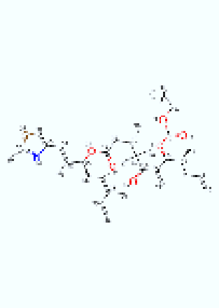 C=CC[C@H](C)[C@H](OC(=O)OCC(Cl)(Cl)Cl)C(=C)C(=O)C(C)(C)[C@@H](C)CC(=O)O[C@@H](C/C=C(/C)C=C)/C(C)=C/c1csc(C)n1